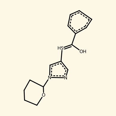 OC(=[SH]c1cnn(C2CCCCO2)c1)c1ccccc1